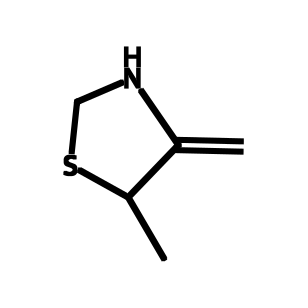 C=C1NCSC1C